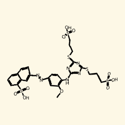 COc1cc(N=Nc2ccc3cccc(S(=O)(=O)O)c3c2)ccc1Nc1nc(SCCCS(=O)(=O)O)nc(SCCCS(=O)(=O)O)n1